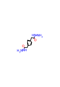 NNC(=O)Cc1ccc(CC(=O)NN)cc1